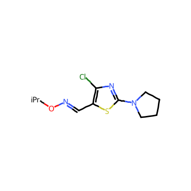 CC(C)O/N=C/c1sc(N2CCCC2)nc1Cl